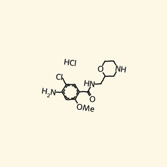 COc1cc(N)c(Cl)cc1C(=O)NCC1CNCCO1.Cl